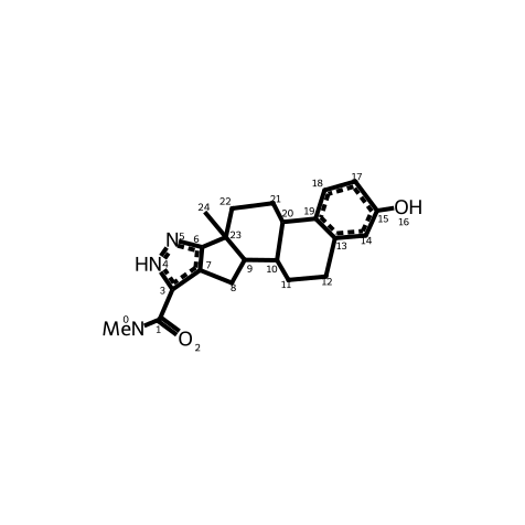 CNC(=O)c1[nH]nc2c1CC1C3CCc4cc(O)ccc4C3CCC21C